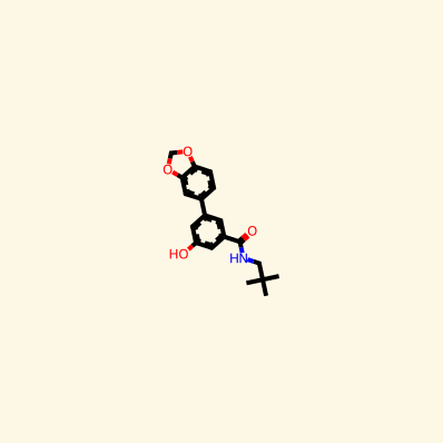 CC(C)(C)CNC(=O)c1cc(O)cc(-c2ccc3c(c2)OCO3)c1